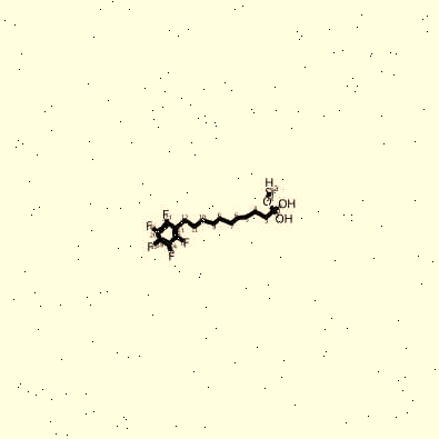 OC(O)(CCCCCCCCCCc1c(F)c(F)c(F)c(F)c1F)O[SiH3]